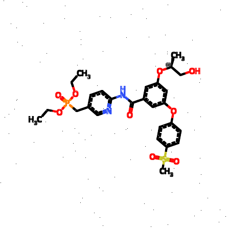 CCOP(=O)(Cc1ccc(NC(=O)c2cc(Oc3ccc(S(C)(=O)=O)cc3)cc(O[C@@H](C)CO)c2)nc1)OCC